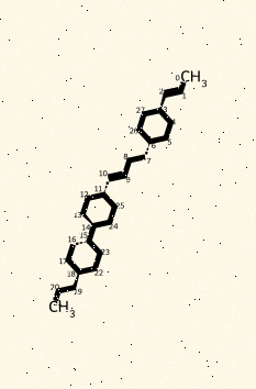 CC=C[C@H]1CC[C@H](CCC=C[C@H]2CC[C@H]([C@H]3CC[C@H](CCC)CC3)CC2)CC1